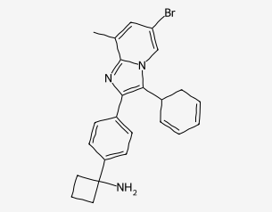 Cc1cc(Br)cn2c(C3C=CC=CC3)c(-c3ccc(C4(N)CCC4)cc3)nc12